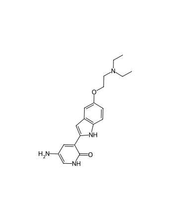 CCN(CC)CCOc1ccc2[nH]c(-c3cc(N)c[nH]c3=O)cc2c1